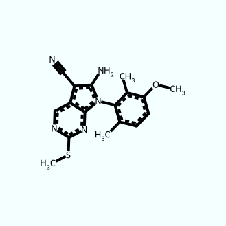 COc1ccc(C)c(-n2c(N)c(C#N)c3cnc(SC)nc32)c1C